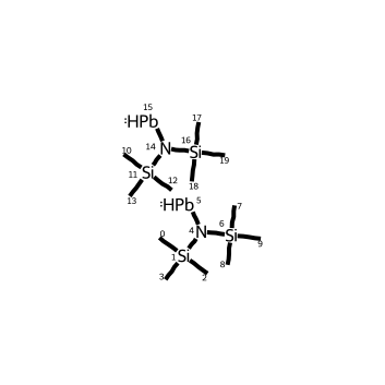 C[Si](C)(C)[N]([PbH])[Si](C)(C)C.C[Si](C)(C)[N]([PbH])[Si](C)(C)C